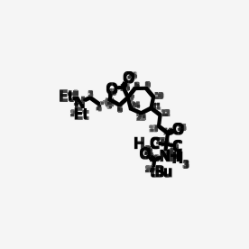 CCN(CC)CC[C@H]1CC2(CCCC(CCC(=O)C(C)(C)NC(=O)C(C)(C)C)CC2)C(=O)O1